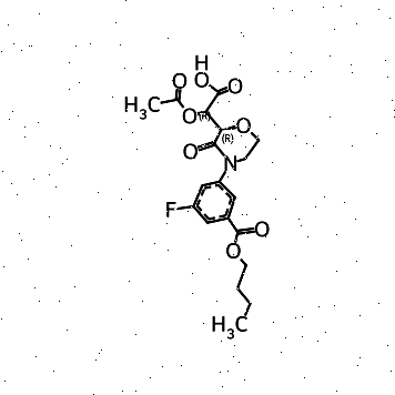 CCCCOC(=O)c1cc(F)cc(N2CCO[C@H]([C@@H](OC(C)=O)C(=O)O)C2=O)c1